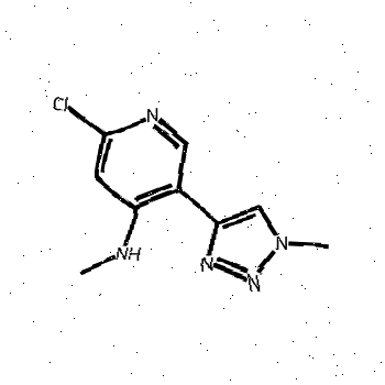 CNc1cc(Cl)ncc1-c1cn(C)nn1